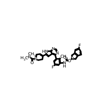 Cc1c(NC(=O)ON2Cc3ccc(F)cc3C2)cc(F)cc1-c1ncnc2[nH]c(C3=CCN(C(=O)N(C)C)CC3)cc12